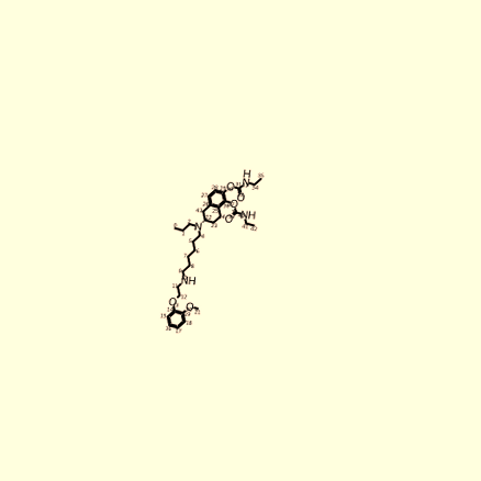 CCCN(CCCCCCNCCOc1ccccc1OC)[C@H]1CCc2c(ccc(OC(=O)NCC)c2OC(=O)NCC)C1